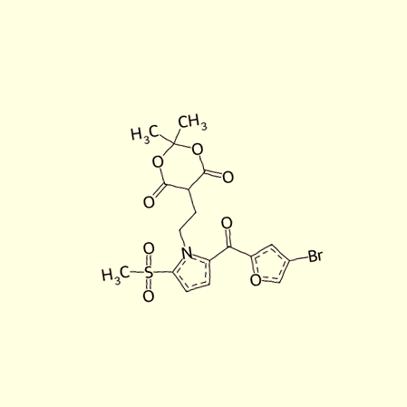 CC1(C)OC(=O)C(CCn2c(C(=O)c3cc(Br)co3)ccc2S(C)(=O)=O)C(=O)O1